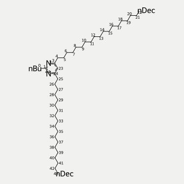 [CH2]CCCc1nc(CCCCCCCCCCCCCCCCCCCCCCCCCCCC)cc(CCCCCCCCCCCCCCCCCCCCCCCCCCCC)n1